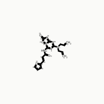 C=CCN(CC=C)c1nc(NC(=O)C=Cc2ccco2)n2oc(=O)nc2n1